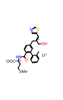 CSCC[C@H](NC(=O)c1ccc(C/C(=C\c2cncs2)CO)cc1-c1ccccc1C)C(=O)[O-].[Li+]